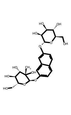 C[C@@]1(O)[C@@H](Oc2ccc3ccc(O[C@H]4O[C@H](CO)[C@@H](O)[C@H](O)[C@@H]4O)cc3c2)O[C@H](CO)[C@@H](O)[C@@H]1O